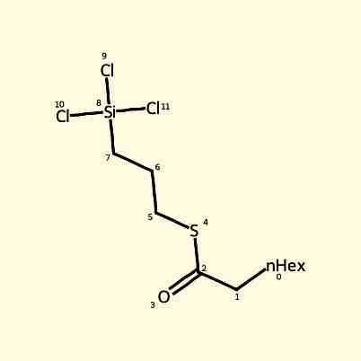 CCCCCCCC(=O)SCCC[Si](Cl)(Cl)Cl